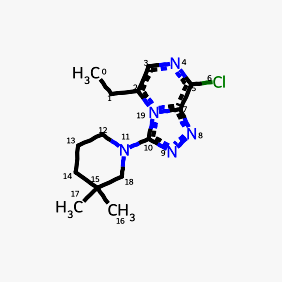 CCc1cnc(Cl)c2nnc(N3CCCC(C)(C)C3)n12